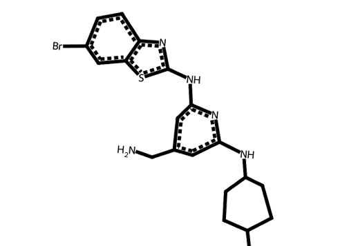 NCc1cc(Nc2nc3ccc(Br)cc3s2)nc(NC2CCC(O)CC2)c1